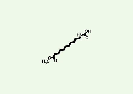 COC(=O)CCCCCCCC=CCNC(=O)O